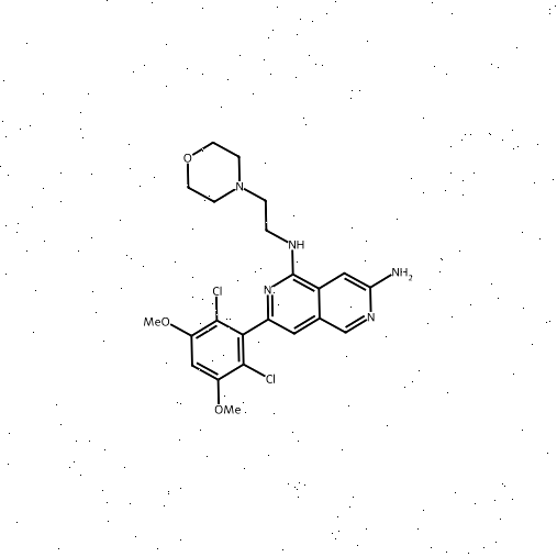 COc1cc(OC)c(Cl)c(-c2cc3cnc(N)cc3c(NCCN3CCOCC3)n2)c1Cl